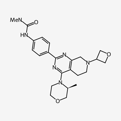 CNC(=O)Nc1ccc(-c2nc3c(c(N4CCOC[C@@H]4C)n2)CCN(C2COC2)C3)cc1